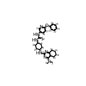 CN(C)c1nc(NC2CCC(NC(=S)Nc3ccc(Oc4ccccc4)nc3)CC2)nc2c1CCCC2